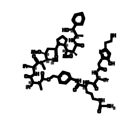 CC[C@H](C)[C@@H]([C@@H](CC(=O)N1CCC[C@H]1[C@H](OC)[C@@H](C)C(=O)N[C@H](C)[C@@H](O)c1ccccc1)OC)N(C)C(=O)[C@@H](NC(=O)[C@H](C(C)C)N(C)C(=O)OCc1ccc(NC(=O)[C@H](CCCNC(N)=O)NC(=O)[C@@H](NC(=O)Cn2nc(CCS)cc2O)C(C)C)cc1)C(C)C